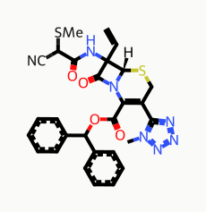 C=CC1(NC(=O)C(C#N)SC)C(=O)N2C(C(=O)OC(c3ccccc3)c3ccccc3)=C(c3nnnn3C)CS[C@H]21